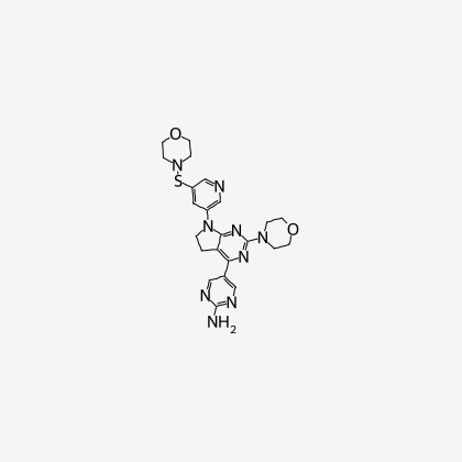 Nc1ncc(-c2nc(N3CCOCC3)nc3c2CCN3c2cncc(SN3CCOCC3)c2)cn1